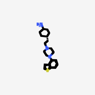 N[C@H]1CC[C@H](CCN2CCN(c3cccc4sccc34)CC2)CC1